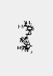 CC1(C)C2CCC1(CS(=O)(=O)NCCOc1cccc(C(=N)N)c1)C(=O)C2